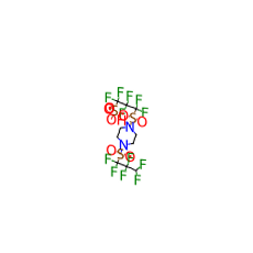 O=S(=O)(O)C(F)(F)C(F)(F)C(F)(F)S(=O)(=O)N1CCN(S(=O)(=O)C(F)(F)C(F)(F)C(F)F)CC1